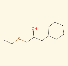 CCSC[C@@H](O)CC1CCCCC1